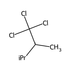 C[C](C(C)C)C(Cl)(Cl)Cl